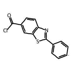 O=C(Cl)c1ccc2nc(-c3cc[c]cc3)sc2c1